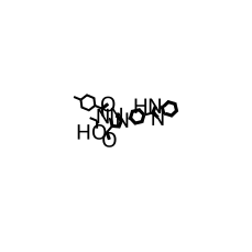 CC1CCC(C(=O)N(c2nn(-c3ccc(-c4nc5ccccc5[nH]4)cc3)cc2C(=O)O)C(C)C)CC1